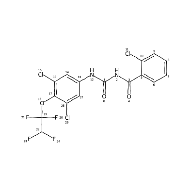 O=C(NC(=O)c1ccccc1Cl)Nc1cc(Cl)c(OC(F)(F)C(F)F)c(Cl)c1